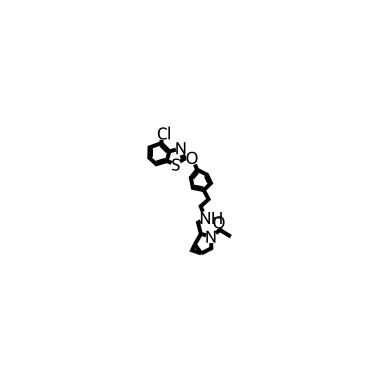 CC(=O)N1CC2CC2C1CNCCc1ccc(Oc2nc3c(Cl)cccc3s2)cc1